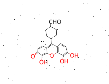 O=CC1CCC(c2c3ccc(=O)c(O)c-3oc3c(O)c(O)ccc23)CC1